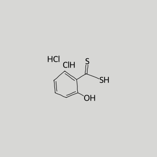 Cl.Cl.Oc1ccccc1C(=S)S